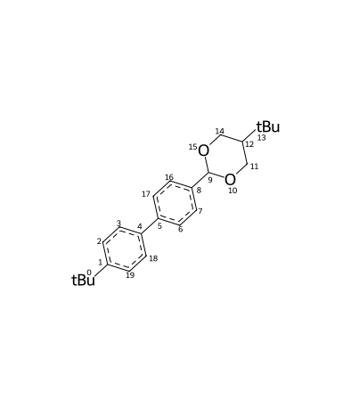 CC(C)(C)c1ccc(-c2ccc(C3OCC(C(C)(C)C)CO3)cc2)cc1